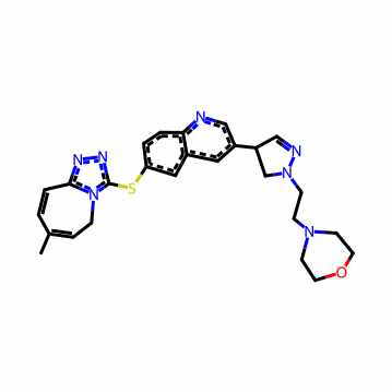 CC1=CCn2c(nnc2Sc2ccc3ncc(C4C=NN(CCN5CCOCC5)C4)cc3c2)C=C1